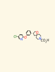 O=C(O)N1CCC2(CC1)C[C@H](c1cccc(Oc3ccc(Cl)cn3)c1)CO2